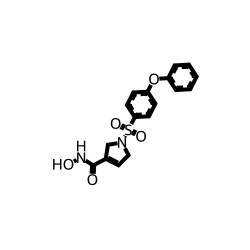 O=C(NO)C1=CCN(S(=O)(=O)c2ccc(Oc3ccccc3)cc2)C1